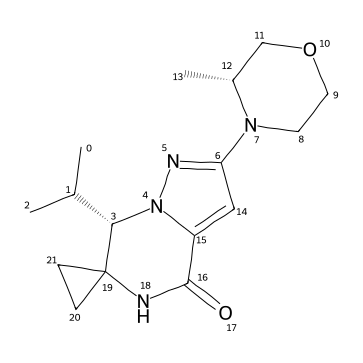 CC(C)[C@@H]1n2nc(N3CCOC[C@H]3C)cc2C(=O)NC12CC2